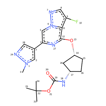 Cn1cc(-c2cn3ncc(F)c3c(O[C@@H]3CC[C@H](NC(=O)OC(C)(C)C)C3)n2)cn1